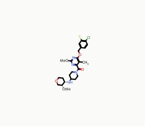 COc1nc(OCc2ccc(Cl)c(F)c2)c(C)c(C(=O)N2CCC(N[C@H]3CCOC[C@H]3OC)CC2)n1